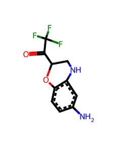 Nc1ccc2c(c1)NCC(C(=O)C(F)(F)F)O2